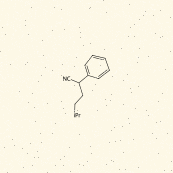 CC(C)CCC(C#N)c1ccccc1